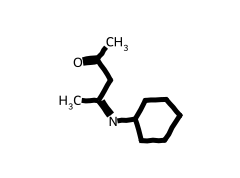 CC(=O)CC(C)=NC1CCCCC1